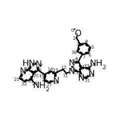 COCc1cccc(-c2nn(CCc3cc(-c4n[nH]c5nccc(N)c45)ccn3)c3ncnc(N)c23)c1